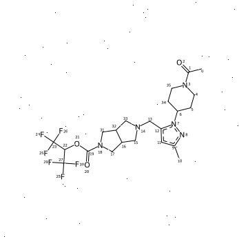 CC(=O)N1CCC(n2nc(C)cc2CN2CC3CN(C(=O)OC(C(F)(F)F)C(F)(F)F)CC3C2)CC1